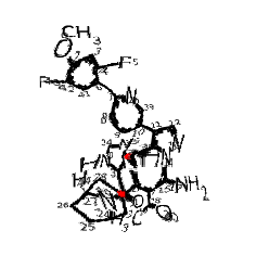 COc1cc(F)c(-c2ccc(-c3cnn4c(N)c(C(C)=O)c(C5CC6CC[C@@H](C5)N6C(=O)C5NC=NN5)nc34)cn2)cc1F